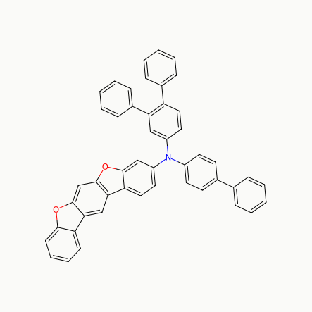 c1ccc(-c2ccc(N(c3ccc(-c4ccccc4)c(-c4ccccc4)c3)c3ccc4c(c3)oc3cc5oc6ccccc6c5cc34)cc2)cc1